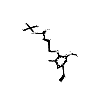 C=Cc1cc(I)c(OCCCC(=O)OC(C)(C)C)c(OC)c1